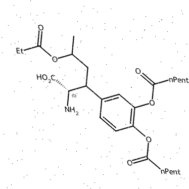 CCCCCC(=O)Oc1ccc(C(CC(C)OC(=O)CC)[C@H](N)C(=O)O)cc1OC(=O)CCCCC